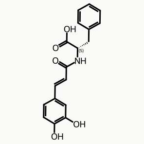 O=C(C=Cc1ccc(O)c(O)c1)N[C@@H](Cc1ccccc1)C(=O)O